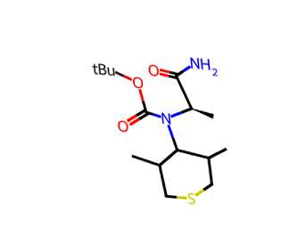 CC1CSCC(C)C1N(C(=O)OC(C)(C)C)[C@H](C)C(N)=O